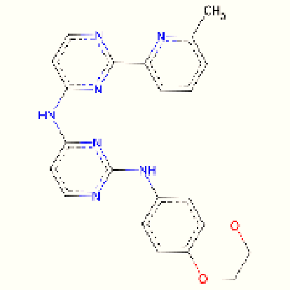 Cc1cccc(-c2nccc(Nc3ccnc(Nc4ccc5c(c4)OCCO5)n3)n2)n1